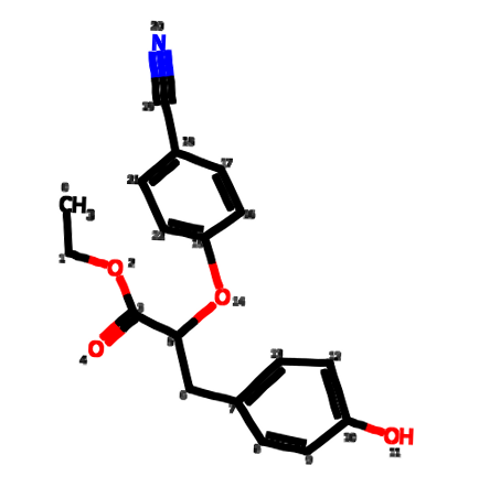 CCOC(=O)C(Cc1ccc(O)cc1)Oc1ccc(C#N)cc1